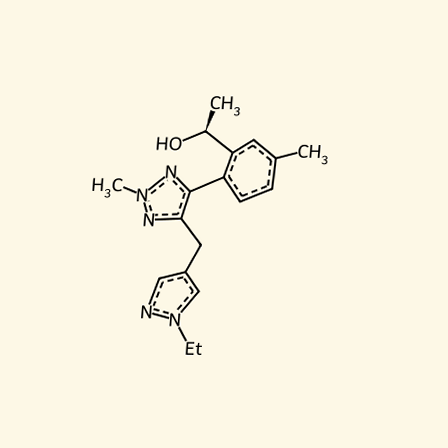 CCn1cc(Cc2nn(C)nc2-c2ccc(C)cc2[C@H](C)O)cn1